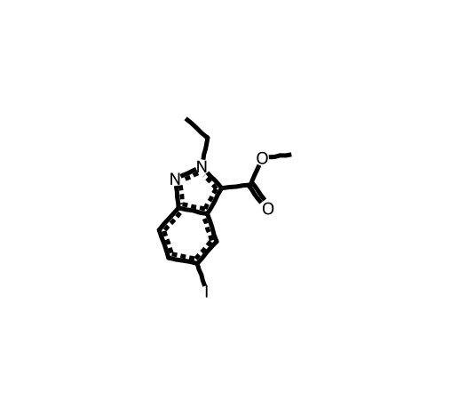 CCn1nc2ccc(I)cc2c1C(=O)OC